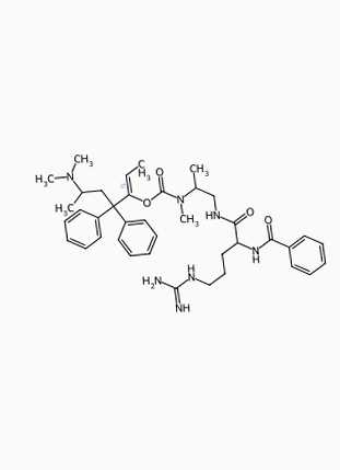 C/C=C(\OC(=O)N(C)C(C)CNC(=O)C(CCCNC(=N)N)NC(=O)c1ccccc1)C(CC(C)N(C)C)(c1ccccc1)c1ccccc1